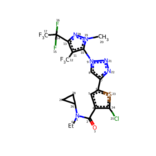 CCN(C(=O)c1cc(-c2cn(-c3c(C(F)(F)F)c(C(F)(F)C(F)(F)F)nn3C)nn2)sc1Cl)C1CC1